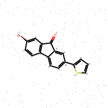 O=C1c2cc(Br)ccc2-c2ccc(-c3cccs3)cc21